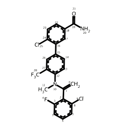 C=C(c1c(F)cccc1Cl)N(C)c1ccc(-c2cc(C(N)=O)ccc2Cl)cc1C(F)(F)F